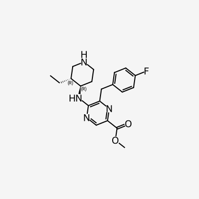 CC[C@@H]1CNCC[C@H]1Nc1ncc(C(=O)OC)nc1Cc1ccc(F)cc1